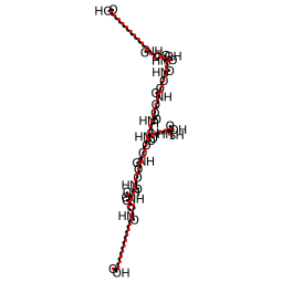 O=C(O)CCCCCCCCCCCCCCCCCCC(=O)NCC1CCC(C(=O)N[C@@H](CCC(=O)NCCOCCOCC(=O)NCCOCCOCC(=O)N[C@@H](CCCCNC(=O)COCCOCCNC(=O)COCCOCCNC(=O)CC[C@H](NC(=O)[C@H]2CC[C@H](CNC(=O)CCCCCCCCCCCCCCCCCCC(=O)O)CC2)C(=O)O)C(=O)NCCCC[C@H](NS)C(=O)O)C(=O)O)CC1